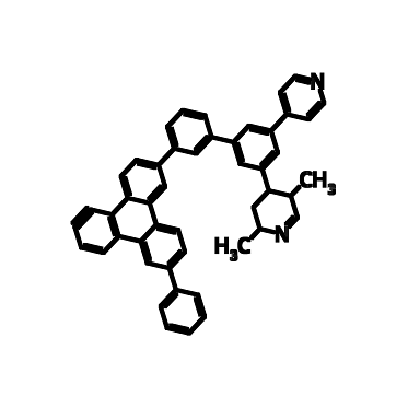 CC1CC(c2cc(-c3ccncc3)cc(-c3cccc(-c4ccc5c6c#cccc6c6cc(-c7ccccc7)ccc6c5c4)c3)c2)C(C)C=N1